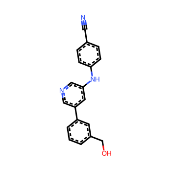 N#Cc1ccc(Nc2cncc(-c3cccc(CO)c3)c2)cc1